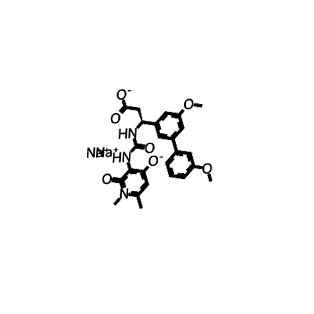 COc1cccc(-c2cc(OC)cc([C@H](CC(=O)[O-])NC(=O)Nc3c([O-])cc(C)n(C)c3=O)c2)c1.[Na+].[Na+]